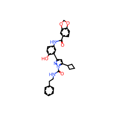 O=C(Nc1ccc(O)c(-c2cc(C3CCC3)n(C(=O)NCCc3ccccc3)n2)c1)c1ccc2c(c1)OCO2